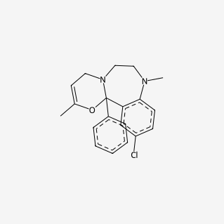 CC1=CCN2CCN(C)c3ccc(Cl)cc3C2(c2ccccc2)O1